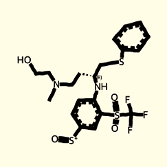 CN(CCO)CC[C@H](CSc1ccccc1)Nc1ccc([S+]=O)cc1S(=O)(=O)C(F)(F)F